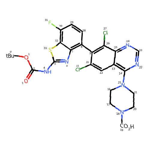 CC(C)(C)OC(=O)Nc1nc2c(-c3c(Cl)cc4c(N5CCN(C(=O)O)CC5)ncnc4c3Cl)ccc(F)c2s1